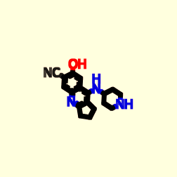 N#Cc1cc2nc3c(c(NC4CCNCC4)c2cc1O)CCC3